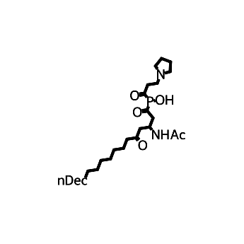 CCCCCCCCCCCCCCCCCC(=O)CC(CC(=O)P(O)C(=O)CCN1CCCC1)NC(C)=O